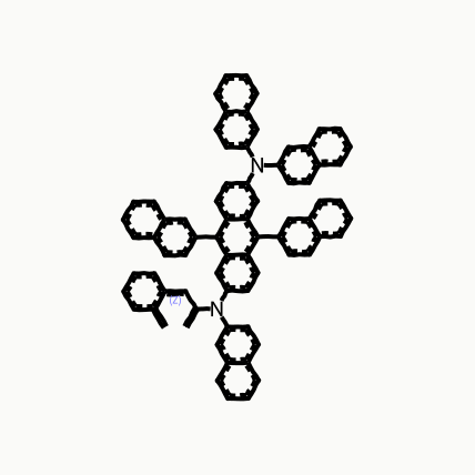 C=C(/C=c1/ccccc1=C)N(c1ccc2ccccc2c1)c1ccc2c(-c3ccc4ccccc4c3)c3cc(N(c4ccc5ccccc5c4)c4ccc5ccccc5c4)ccc3c(-c3ccc4ccccc4c3)c2c1